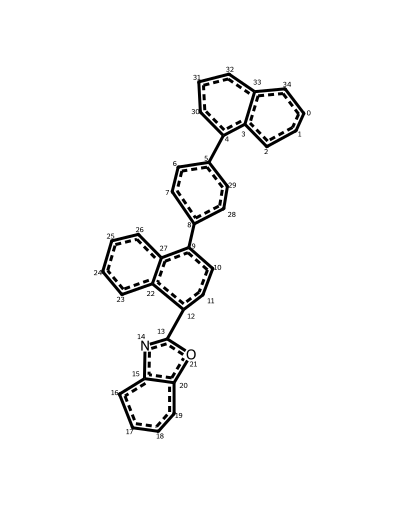 c1ccc2c(-c3ccc(-c4ccc(-c5nc6ccccc6o5)c5ccccc45)cc3)cccc2c1